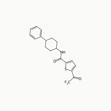 O=C(NC1CCC(c2ccccc2)CC1)c1ccc(C(=O)C(F)(F)F)s1